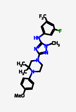 COc1ccc(N2CCN(c3nc(Nc4cc(F)cc(C(F)(F)F)c4)n(C)n3)CC2(C)C)cc1